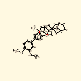 COc1ccc(-c2nc3n(n2)CC(C2CC4CCC(C2)N4C2CCN(C(C)C)CC2)CC3)cc1OC